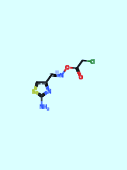 Nc1nc(/[C]=N/OC(=O)CCl)cs1